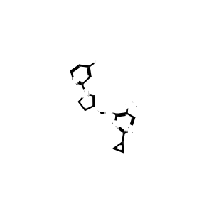 N#Cc1cnc(C2CC2)nc1OC[C@H]1CCN(c2cc(C(F)(F)F)ccn2)C1